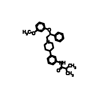 COc1cccc(O[C@H](CN2CCC(c3cccc(NC(=O)C(C)C)c3)CC2)c2ccccc2)c1